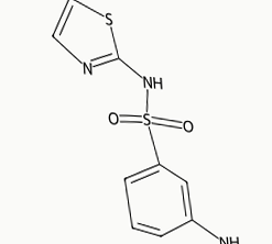 Nc1cccc(S(=O)(=O)Nc2nccs2)c1